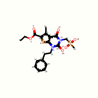 CCOC(=O)c1sc2c(c1C)c(=O)n(CS(C)(=O)=O)c(=O)n2CCc1ccccc1